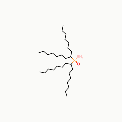 BP(=O)(C(CCCCCCC)CCCCCCC)C(CCCCCCC)CCCCCCC